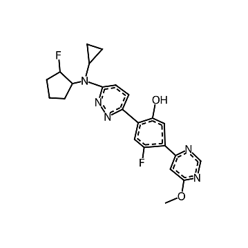 COc1cc(-c2cc(O)c(-c3ccc(N(C4CC4)C4CCCC4F)nn3)cc2F)ncn1